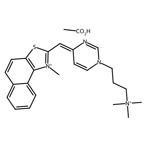 CC(=O)O.C[n+]1c(C=C2C=CN(CCC[N+](C)(C)C)C=N2)sc2ccc3ccccc3c21